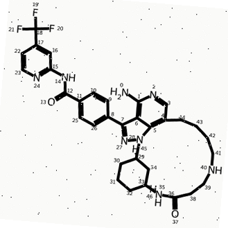 Nc1ncc2c3c1c(-c1ccc(C(=O)Nc4cc(C(F)(F)F)ccn4)cc1)nn3[C@@H]1CCC[C@H](C1)NC(=O)CCNCCCC2